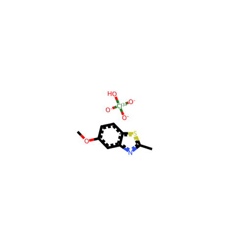 COc1ccc2sc(C)nc2c1.[O-][Cl+3]([O-])([O-])O